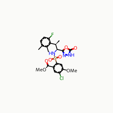 COC(=O)c1cc(Cl)c(OC)cc1S(=O)(=O)N[C@H](c1n[nH]c(=O)o1)[C@H](C)c1c(F)ccc(C)c1C